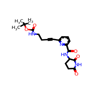 CC(C)(C)OC(=O)NCCC#Cc1cccc(C(=O)NC2CCC(=O)NC2=O)n1